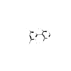 CCCCCCc1cc(CCCCCC)nc(-c2c(CCCCCC)ncnc2CCCCCC)n1